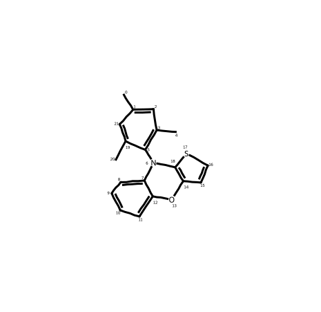 Cc1cc(C)c(N2c3ccccc3Oc3ccsc32)c(C)c1